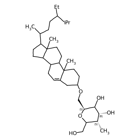 CCC(CCC(C)C1CCC2C3CC=C4CC(OC[C@@H]5OC(CO)[C@@H](C)[C@@H](O)C5O)CCC4(C)C3CCC12C)C(C)C